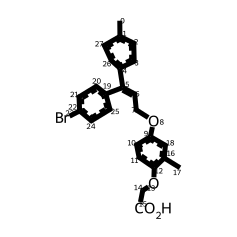 Cc1ccc(/C(=C/COc2ccc(OCC(=O)O)c(C)c2)c2ccc(Br)cc2)cc1